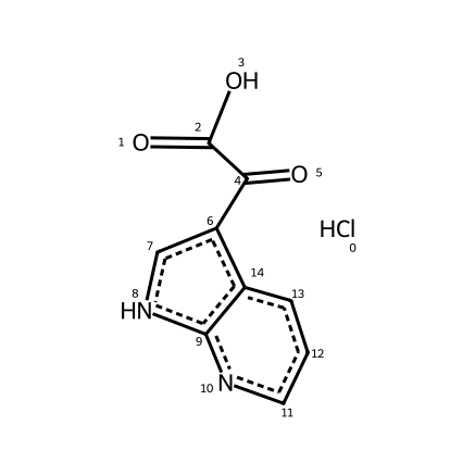 Cl.O=C(O)C(=O)c1c[nH]c2ncccc12